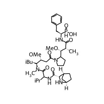 CC[C@H](C)[C@@H]([C@@H](CC(=O)N1CCCC1[C@H](OC)[C@@H](C)C(=O)N[C@@H](Cc1ccccc1)[PH](=O)O)OC)N(C)C(=O)C(NC(=O)[C@H]1N[C@@H]2CC[C@H]1C2)C(C)C